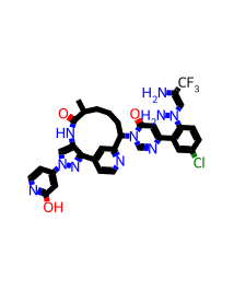 CC1CCCC(n2cnc(-c3cc(Cl)ccc3N(N)/C=C(\N)C(F)(F)F)cc2=O)c2cc(ccn2)-c2nn(-c3ccnc(O)c3)cc2NC1=O